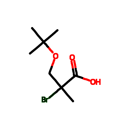 CC(C)(C)OCC(C)(Br)C(=O)O